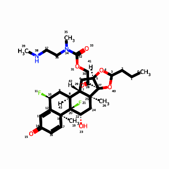 CCCC1O[C@@H]2C[C@H]3[C@@H]4C[C@H](F)C5=CC(=O)C=C[C@]5(C)[C@@]4(F)[C@@H](O)C[C@]3(C)[C@]2(C(=O)COC(=O)N(C)CCNC)O1